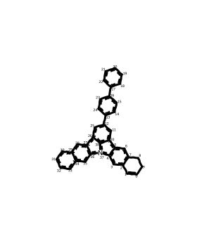 C1=Cc2cc3c(cc2CC1)c1cc(-c2ccc(-c4ccccc4)cc2)cc2c4cc5ccccc5cc4n3c12